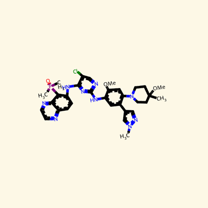 COc1cc(N2CCC(C)(OC)CC2)c(-c2cnn(C)c2)cc1Nc1ncc(Cl)c(Nc2ccc3nccnc3c2P(C)(C)=O)n1